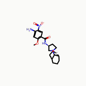 COc1cc(N)c([N+](=O)[O-])cc1C(=O)N[C@H]1CCN(C2C3CCCC2CCC3)C1